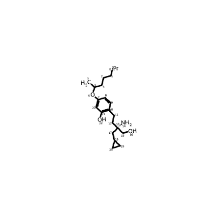 CC(C)CCCC(C)Oc1ccc(CC[C@@](N)(CO)CC2CC2)c(O)c1